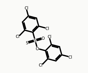 O=S(=S)(Oc1c(Cl)cc(Cl)cc1Cl)c1c(Cl)cc(Cl)cc1Cl